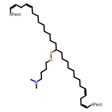 CCCCC/C=C\C/C=C\CCCCCCCCC(CCCCCCCC/C=C\C/C=C\CCCCC)SSCCCCN(C)C